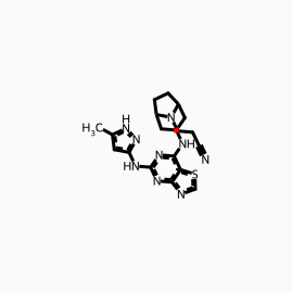 Cc1cc(Nc2nc(NC3CC4CCC(C3)N4CCC#N)c3scnc3n2)n[nH]1